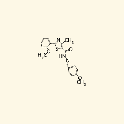 COc1ccc(/C=N/NC(=O)c2sc(-c3ccccc3OC)nc2C)cc1